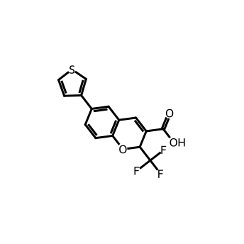 O=C(O)C1=Cc2cc(-c3ccsc3)ccc2OC1C(F)(F)F